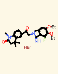 Br.CCOc1cc2c(c(F)c1OCC)C(=N)N(CC(=O)c1ccc3c(c1)C(C)(C)CC(=O)N3C)C2